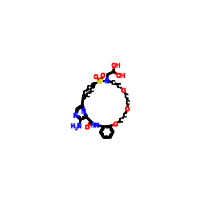 Nc1ncc2nc1C(=O)Nc1ccccc1OCCOCCOCCN(CC(O)O)S(=O)(=O)c1ccc-2cc1